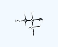 CC(C)[Si](I)(I)[Si](I)(C(C)C)[Si](I)(I)I